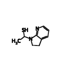 CC(S)N1CCc2cccnc21